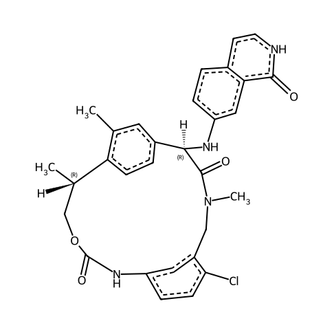 Cc1cc2ccc1[C@@H](C)COC(=O)Nc1ccc(Cl)c(c1)CN(C)C(=O)[C@@H]2Nc1ccc2cc[nH]c(=O)c2c1